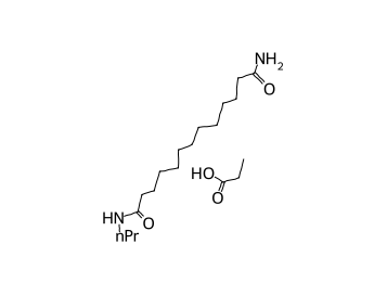 CCC(=O)O.CCCNC(=O)CCCCCCCCCCCC(N)=O